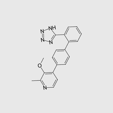 COc1c(-c2ccc(-c3ccccc3-c3nnn[nH]3)cc2)ccnc1C